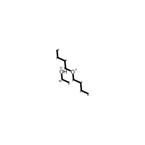 CCCCOCCCC.CCO